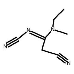 CCN(C)/C(CC#N)=N/C#N